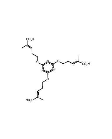 C/C(=C\CCOc1nc(OCC/C=C(\C)C(=O)O)nc(OCC/C=C(\C)C(=O)O)n1)C(=O)O